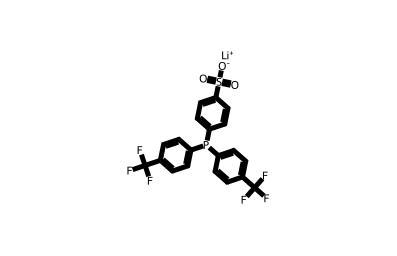 O=S(=O)([O-])c1ccc(P(c2ccc(C(F)(F)F)cc2)c2ccc(C(F)(F)F)cc2)cc1.[Li+]